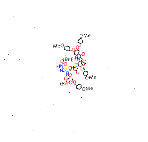 CCn1nc(C[N+]2(CC3=C(C(=O)OCc4ccc(OC)cc4)N4C(=O)[C@@H](CC(=O)/C(=N\O[C@H](CC(=O)OCc5ccc(OC)cc5)C(=O)OC(C)(C)C)c5cnc(NC(=O)OC(C)(C)C)s5)[C@H]4SC3)CCCC2)c(=O)c2cc(OCc3ccc(OC)cc3)c(OCc3ccc(OC)cc3)cc21